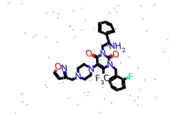 Cc1c(N2CCN(Cc3ccon3)CC2)c(=O)n(C[C@H](N)c2ccccc2)c(=O)n1Cc1c(F)cccc1C(F)(F)F